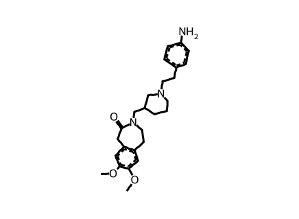 COc1cc2c(cc1OC)CC(=O)N(CC1CCCN(CCc3ccc(N)cc3)C1)CC2